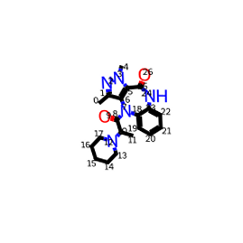 Cc1nn(C)c2c1N(C(=O)C(C)N1CCCCC1)c1ccccc1NC2=O